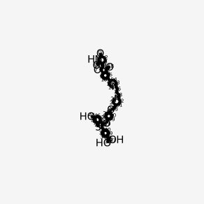 O=C1CCC(N2C(=O)c3ccc(C4CCN(CCCN5CCC(COc6ccc(Oc7c(-c8ccc(B(O)O)cc8)sc8cc(O)ccc78)cc6)CC5)CC4)cc3C2=O)C(=O)N1